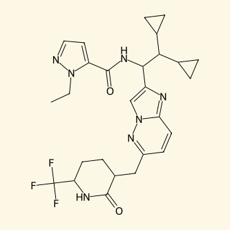 CCn1nccc1C(=O)NC(c1cn2nc(CC3CCC(C(F)(F)F)NC3=O)ccc2n1)C(C1CC1)C1CC1